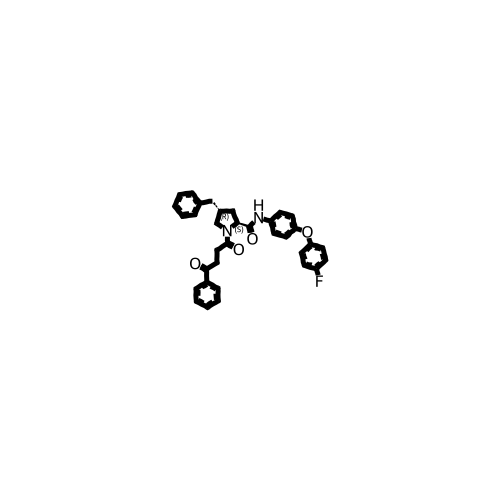 O=C(CCC(=O)N1C[C@H](Cc2ccccc2)C[C@H]1C(=O)Nc1ccc(Oc2ccc(F)cc2)cc1)c1ccccc1